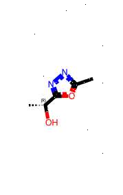 Cc1nnc([C@@H](C)O)o1